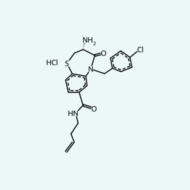 C=CCCNC(=O)c1ccc2c(c1)N(Cc1ccc(Cl)cc1)C(=O)[C@@H](N)CS2.Cl